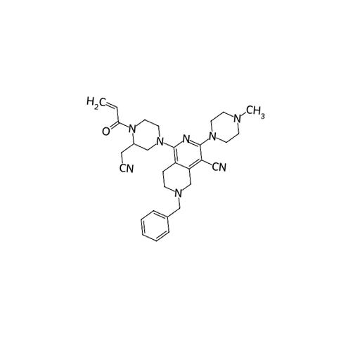 C=CC(=O)N1CCN(c2nc(N3CCN(C)CC3)c(C#N)c3c2CCN(Cc2ccccc2)C3)CC1CC#N